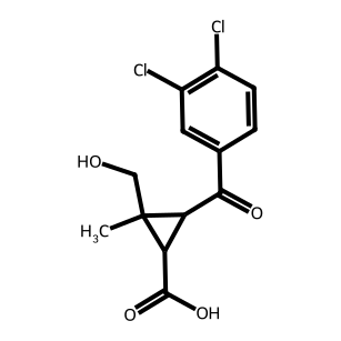 CC1(CO)C(C(=O)O)C1C(=O)c1ccc(Cl)c(Cl)c1